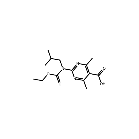 CCOC(=O)N(CC(C)C)c1nc(C)c(C(=O)O)c(C)n1